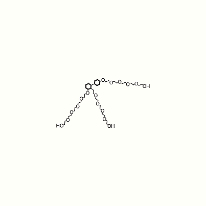 OCCOCCOCCOCCOCCOc1ccc(-c2[c]ccc(OCCOCCOCCOCCOCCO)c2CCOCCOCCOCCOCCO)cc1